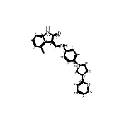 Cc1cccc2c1/C(=C/Nc1ccc(N3CCC(c4ccccn4)C3)cc1)C(=O)N2